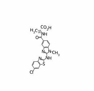 C[C@@H](NC(=O)c1ccc2c(c1)nc(Nc1nc3ccc(Cl)cc3s1)n2C)C(=O)O